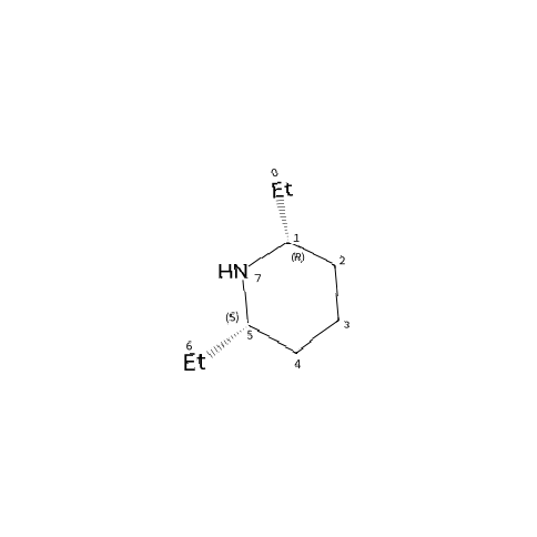 CC[C@@H]1CCC[C@H](CC)N1